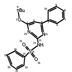 CCCCOc1cc(-c2ccccc2)nc(NS(=O)(=O)c2ccccc2)n1